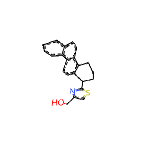 OCc1csc(C2CCCc3c2ccc2c3ccc3ccccc32)n1